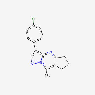 FC(F)(F)c1c2c(nc3c(-c4ccc(Cl)cc4)cnn13)CCC2